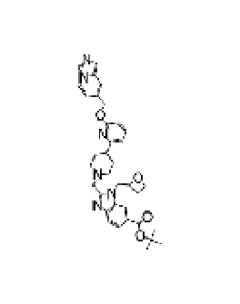 CC(C)(C)OC(=O)c1ccc2nc(CN3CCC(c4cccc(OCc5ccn6cncc6c5)n4)CC3)n(CC3CCO3)c2c1